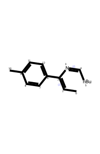 C/C=C(\N=C/CCCC)c1ccc(C)cc1